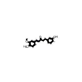 COc1cc(/C=C/C(=O)CCc2cccc(O)c2)ccc1O